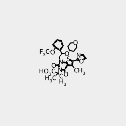 Cc1c(-c2ncco2)sc2c1c(=O)n(C(C)(C)C(=O)O)c(=O)n2C[C@H](OC1CCOCC1)c1ccccc1OC(F)(F)F